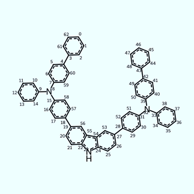 c1ccc(-c2ccc(N(c3ccccc3)c3ccc(-c4ccc5[nH]c6ccc(-c7ccc(N(c8ccccc8)c8ccc(-c9ccccc9)cc8)cc7)cc6c5c4)cc3)cc2)cc1